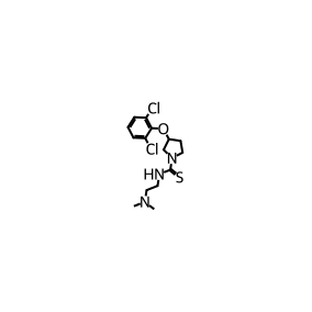 CN(C)CCNC(=S)N1CCC(Oc2c(Cl)cccc2Cl)C1